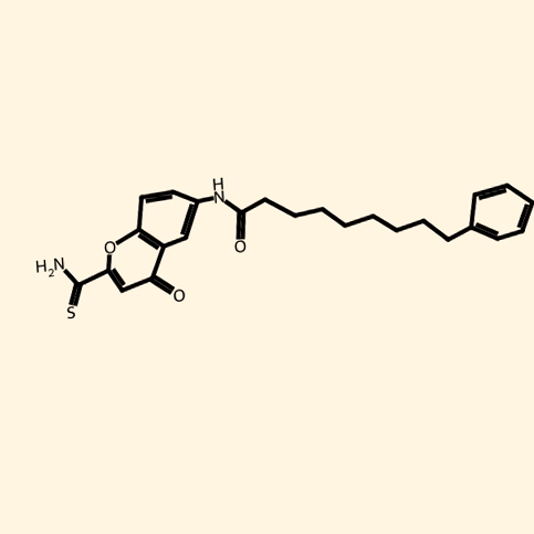 NC(=S)c1cc(=O)c2cc(NC(=O)CCCCCCCCc3ccccc3)ccc2o1